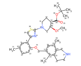 CO[C@H]1CN(c2nc(-c3cc(C)ccc3OCc3cc(C)c4c(c3C)CCNC4)cs2)CC[C@H]1C(=O)OC(C)(C)C